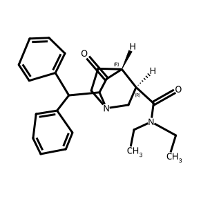 CCN(CC)C(=O)[C@H]1CN2CC[C@H]1C(=O)C2C(c1ccccc1)c1ccccc1